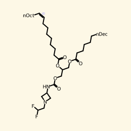 CCCCCCCC/C=C\CCCCCCCC(=O)OC(COC(=O)CCCCCCCCCCCCCCC)COC(=O)NC1CN(CC(F)F)C1